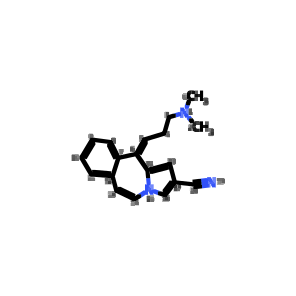 CN(C)CCC=C1c2ccccc2C=Cn2cc(C#N)cc21